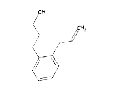 C=CCc1ccccc1CCCO